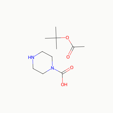 CC(=O)OC(C)(C)C.O=C(O)N1CCNCC1